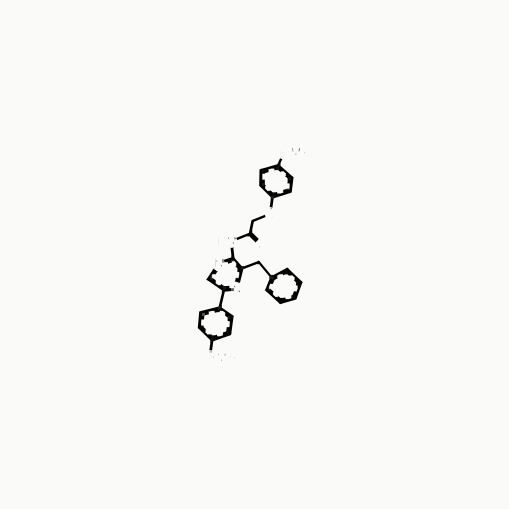 COc1ccc(SCC(=O)Nc2ncc(-c3ccc(OC)cc3)nc2Cc2ccccc2)cc1